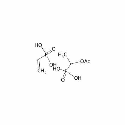 C=CP(=O)(O)O.CC(=O)OC(C)P(=O)(O)O